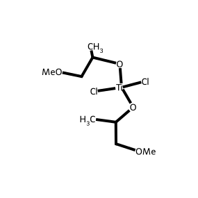 COCC(C)[O][Ti]([Cl])([Cl])[O]C(C)COC